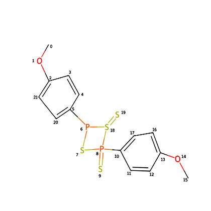 COc1ccc(P2SP(=S)(c3ccc(OC)cc3)S2=S)cc1